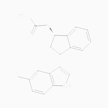 COC(=O)N[C@@H]1C[C@@H](c2c[nH]c3ccc(Cl)cc23)c2ccccc21